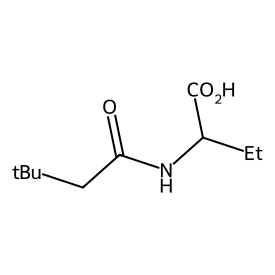 CCC(NC(=O)CC(C)(C)C)C(=O)O